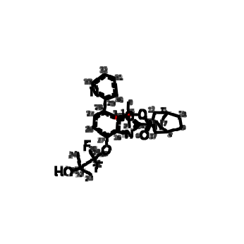 CC(C)(C)OC(=O)N1C2CCC1CN(c1nc3c(OC(F)(F)C(C)(C)O)ccc(-c4ccccn4)c3o1)C2